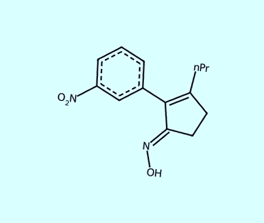 CCCC1=C(c2cccc([N+](=O)[O-])c2)C(=NO)CC1